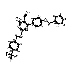 N#Cc1c(-c2ccc(OCc3ccccc3)cc2)nc(SCc2ccc(C(F)(F)F)cc2)[nH]c1=O